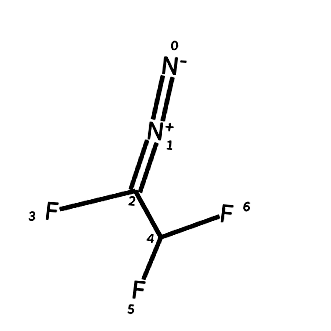 [N-]=[N+]=C(F)C(F)F